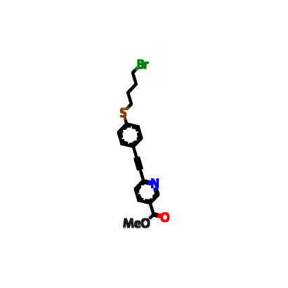 COC(=O)c1ccc(C#Cc2ccc(SCCCCBr)cc2)nc1